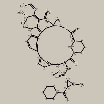 C=C/C(=C(\N=C/C)[C@H](C)OC)c1c2c3cc(ccc3n1CC)-c1csc(n1)[C@@H](OCC)[C@H](NC(=O)[C@@H]1[C@@H](C)[C@H]1C(=O)N1CCCCC1)C(=O)N1CCC[C@H](N1)C(=O)OCC(C)(C)C2